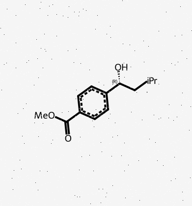 COC(=O)c1ccc([C@H](O)CC(C)C)cc1